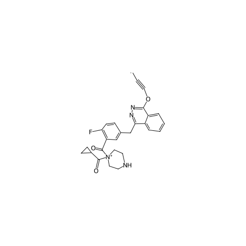 [CH2]C#COc1nnc(Cc2ccc(F)c(C(=O)[N+]3(C(=O)C4CC4)CCNCC3)c2)c2ccccc12